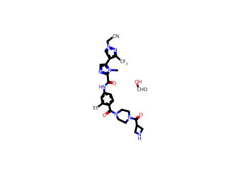 CCc1cc(NC(=O)c2ncc(-c3cn(CC#N)nc3C(F)(F)F)n2C)ccc1C(=O)N1CCN(C(=O)C2CNC2)CC1.O=CO